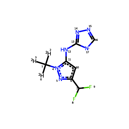 [2H]C([2H])([2H])n1nc(C(F)F)cc1NC1=NN=C[N]1